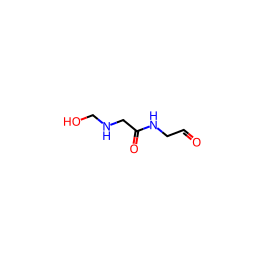 O=CCNC(=O)CNCO